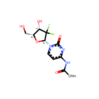 COC(=O)Nc1ccn([C@@H]2O[C@H](CO)[C@H](O)C2(F)F)c(=O)n1